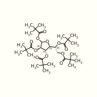 CC(C)(C)C(=O)OC[C@@H](OC(=O)C(C)(C)C)[C@@H]1OC(OC(=O)C(C)(C)C)[C@H](OC(=O)C(C)(C)C)[C@H]1OC(=O)C(C)(C)C